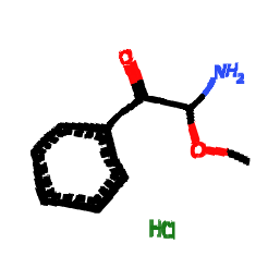 COC(N)C(=O)c1ccccc1.Cl